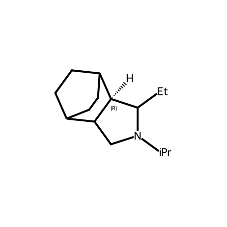 CCC1[C@@H]2C3CCC(CC3)C2CN1C(C)C